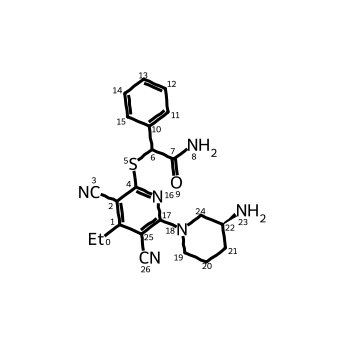 CCc1c(C#N)c(SC(C(N)=O)c2ccccc2)nc(N2CCC[C@H](N)C2)c1C#N